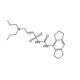 CCCN(C/C=C/S(=O)(=O)NC(=O)Nc1c2c(cc3c1CCC3)CCC2)CCC